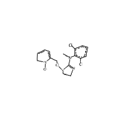 CN(C1=NCCN1OCC1=CC=CCN1[O])c1c(Cl)cccc1Cl